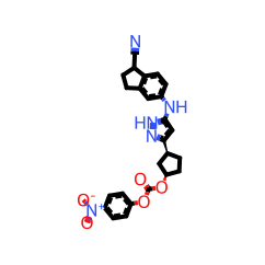 N#CC1CCc2cc(Nc3cc([C@H]4CC[C@@H](OC(=O)Oc5ccc([N+](=O)[O-])cc5)C4)n[nH]3)ccc21